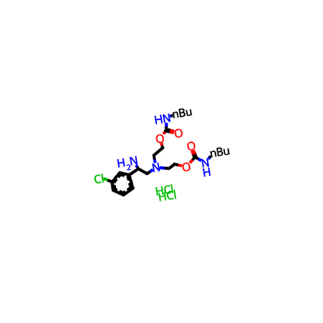 CCCCNC(=O)OCCN(CCOC(=O)NCCCC)CC(N)c1cccc(Cl)c1.Cl.Cl